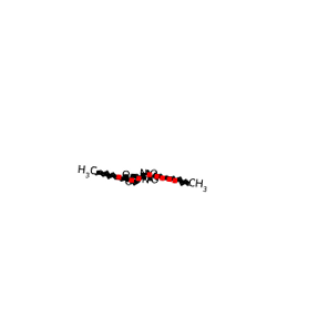 CCCCCCCCCCCC(=O)Oc1cnc(-c2ccc(OC(=O)CCCCCCCCCC)cc2)nc1